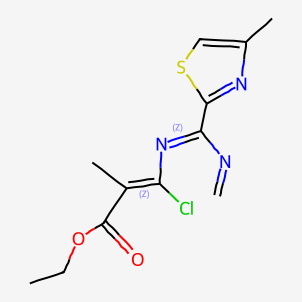 C=N/C(=N\C(Cl)=C(/C)C(=O)OCC)c1nc(C)cs1